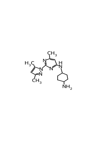 Cc1cc(NC2CCC(N)CC2)nc(-n2nc(C)cc2C)n1